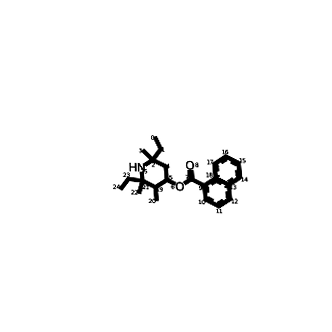 CCC1(C)CC(OC(=O)c2cccc3ccccc23)C(C)C(C)(CC)N1